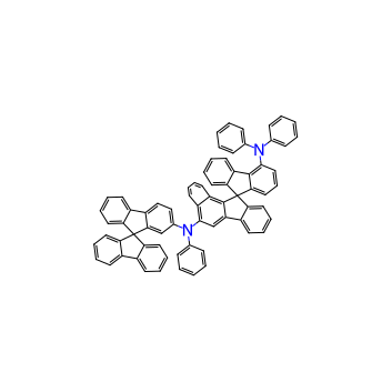 c1ccc(N(c2ccccc2)c2cccc3c2-c2ccccc2C32c3ccccc3-c3cc(N(c4ccccc4)c4ccc5c(c4)C4(c6ccccc6-c6ccccc64)c4ccccc4-5)c4ccccc4c32)cc1